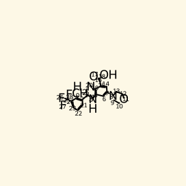 Cc1c(CNc2cc(N3CCOCC3)cc(C(=O)O)c2N)cccc1C(F)(F)F